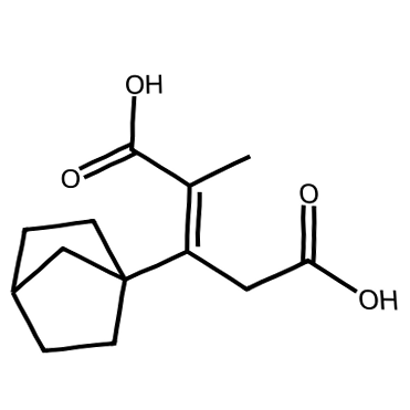 CC(C(=O)O)=C(CC(=O)O)C12CCC(CC1)C2